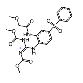 COCC(=O)Nc1cc(S(=O)(=O)c2ccccc2)ccc1N/C(=N\C(=O)OC)NC(=O)OC